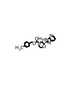 Cc1ccc(COC(O)N2CCO[C@H](c3nc4cccnc4[nH]3)C2)cc1